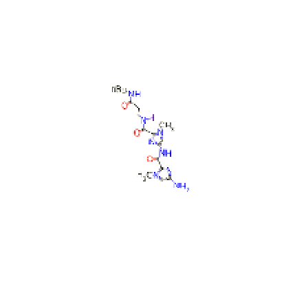 CCCCNC(=O)CCN(I)C(=O)c1nc(NC(=O)c2nc(N)cn2C)cn1C